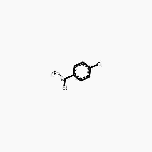 CCC[C@@H](CC)c1ccc(Cl)cc1